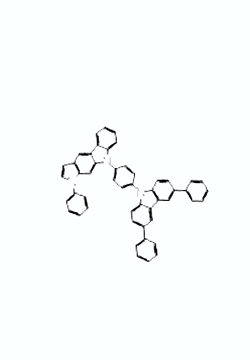 c1ccc(-c2ccc3c(c2)c2cc(-c4ccccc4)ccc2n3-c2ccc(-n3c4ccccc4c4cc5ccn(-c6ccccc6)c5cc43)cc2)cc1